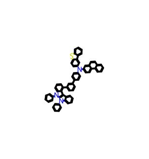 c1ccc(-n2c3ccccc3c3c4c(-c5cccc(-c6ccc(N(c7ccc8c(ccc9ccccc98)c7)c7ccc8sc9ccccc9c8c7)cc6)c5)cccc4n(-c4ccccc4)c32)cc1